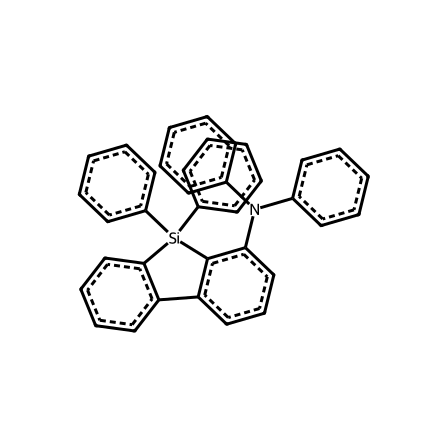 c1ccc(N(c2ccccc2)c2cccc3c2[Si](c2ccccc2)(c2ccccc2)c2ccccc2-3)cc1